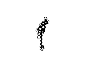 CCC12OC1C1OC13C1(C)CCC4=C(COC4=O)C1CC1OC13C2OC(=O)CC(=O)CCCCC1CCSS1